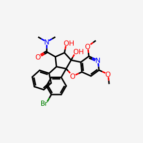 COc1cc2c(c(OC)n1)C1(O)C(O)C(C(=O)N(C)C)C(c3ccccc3)C1(c1ccc(Br)cc1)O2